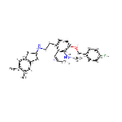 C/C=C\c1c(CCNC2Cc3cc(CC)c(CC)cc3C2)ccc(OCc2ccc(F)cc2)c1NC=O